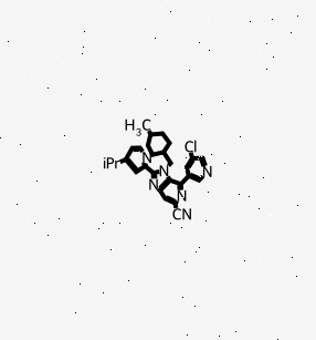 CC1CCC(Cn2c(-c3cc(C(C)C)ccn3)nc3cc(C#N)nc(-c4cncc(Cl)c4)c32)CC1